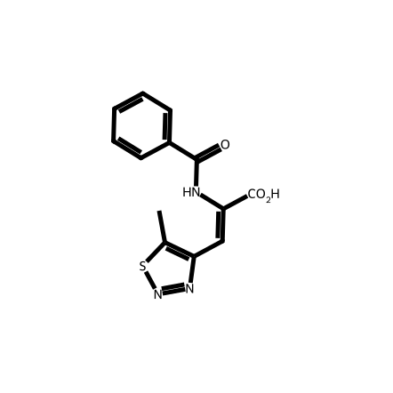 Cc1snnc1/C=C(\NC(=O)c1ccccc1)C(=O)O